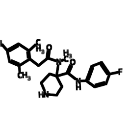 Cc1cc(Cl)cc(C)c1CC(=O)N(C)C1(C(=O)Nc2ccc(F)cc2)CCNCC1